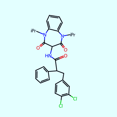 CC(C)N1C(=O)C(NC(=O)C(Cc2ccc(Cl)c(Cl)c2)c2ccccc2)C(=O)N(C(C)C)c2ccccc21